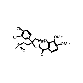 COc1ccc(C(=O)C2CC(CCS(C)(=O)=O)(c3ccc(Cl)c(Cl)c3)CN2)c(OC)c1OC